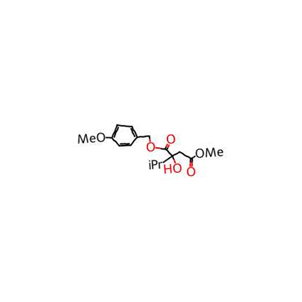 COC(=O)CC(O)(C(=O)OCc1ccc(OC)cc1)C(C)C